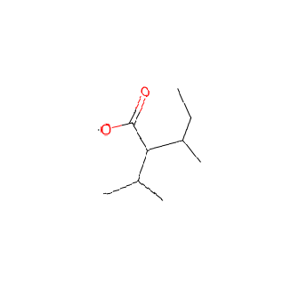 CCC(C)C(C([O])=O)C(C)C